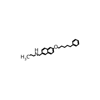 CCCNCc1ccc2cc(OCCCCCc3ccccc3)ccc2c1